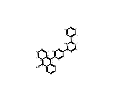 Clc1c2ccccc2c(-c2ccc(-c3ccnc(-c4ccccc4)n3)cc2)c2ccccc12